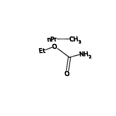 CCCC.CCOC(N)=O